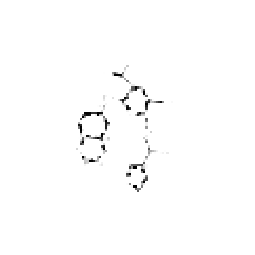 NC(=O)c1cc(F)c(NCC(N)c2ccsc2)nc1Nc1ccc2ncccc2c1